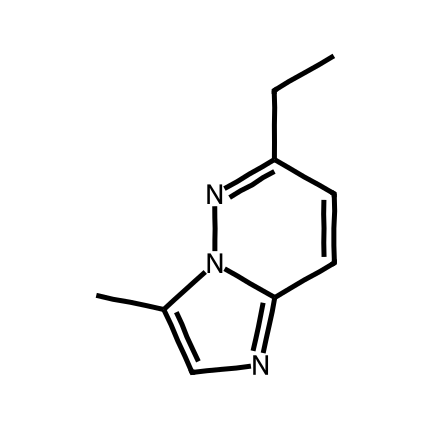 CCc1ccc2ncc(C)n2n1